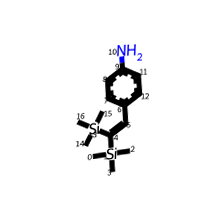 C[Si](C)(C)C(=Cc1ccc(N)cc1)[Si](C)(C)C